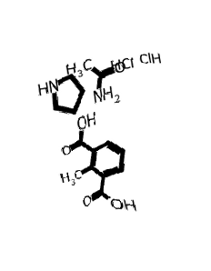 C1CCNC1.CC(N)=O.Cc1c(C(=O)O)cccc1C(=O)O.Cl.Cl